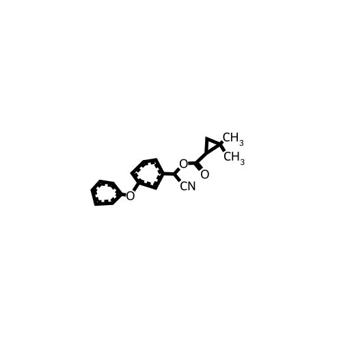 CC1(C)CC1C(=O)OC(C#N)c1cccc(Oc2ccccc2)c1